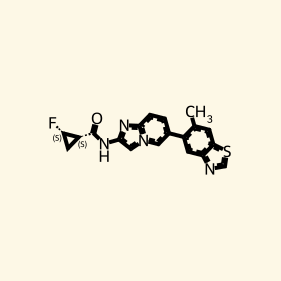 Cc1cc2scnc2cc1-c1ccc2nc(NC(=O)[C@@H]3C[C@@H]3F)cn2c1